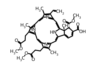 C=CC1=C(C)c2cc3[nH]c(cc4nc(cc5[nH]c(cc1n2)[C@@]1(C)C5=CC=C(C(=O)O)[C@H]1C(=O)OC)C(C)=C4CCC(=O)OC)c(CCC(=O)OC)c3C